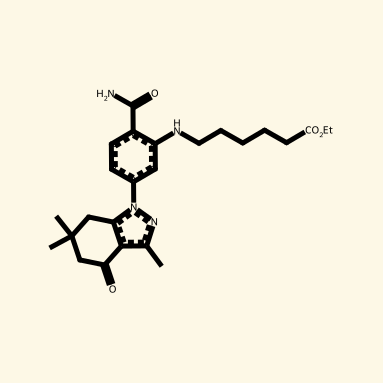 CCOC(=O)CCCCCNc1cc(-n2nc(C)c3c2CC(C)(C)CC3=O)ccc1C(N)=O